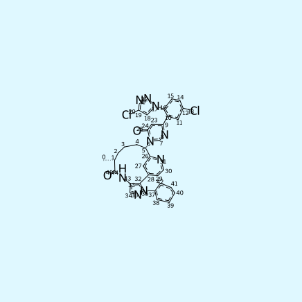 C[C@@H]1CCC[C@H](n2cnc(-c3cc(Cl)ccc3-n3cc(Cl)nn3)cc2=O)c2cc(ccn2)-c2c(cnn2-c2ccccc2)NC1=O